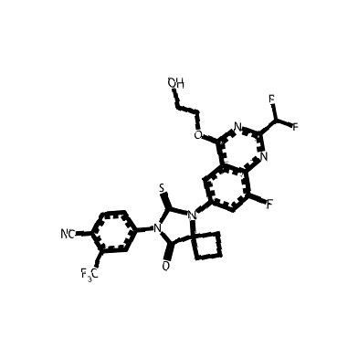 N#Cc1ccc(N2C(=O)C3(CCC3)N(c3cc(F)c4nc(C(F)F)nc(OCCO)c4c3)C2=S)cc1C(F)(F)F